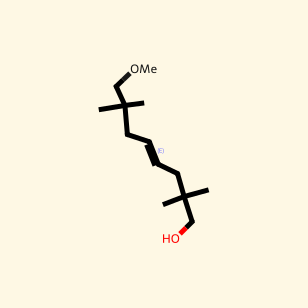 COCC(C)(C)C/C=C/CC(C)(C)CO